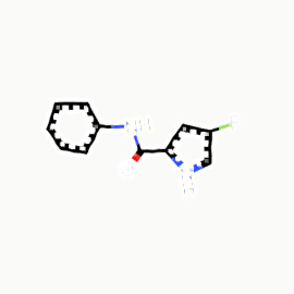 O=C(Nc1ccccc1)c1cc(F)c[nH]1